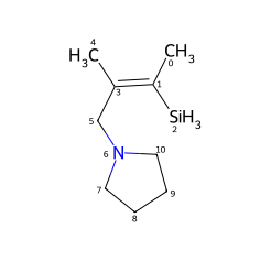 CC([SiH3])=C(C)CN1CCCC1